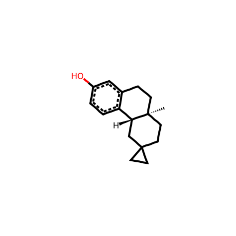 C[C@@]12CCc3cc(O)ccc3[C@H]1CC1(CC1)CC2